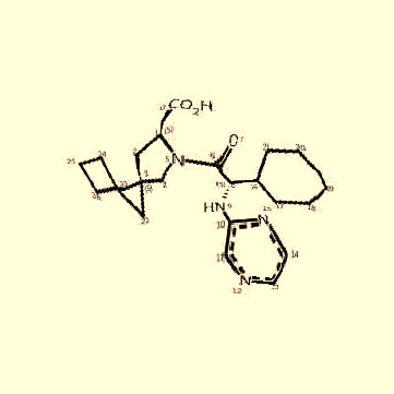 O=C(O)[C@@H]1C[C@@]2(CN1C(=O)[C@@H](Nc1cnccn1)C1CCCCC1)CC21CCC1